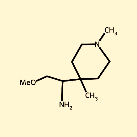 COCC(N)C1(C)CCN(C)CC1